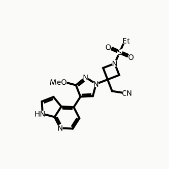 CCS(=O)(=O)N1CC(CC#N)(n2cc(-c3ccnc4[nH]ccc34)c(OC)n2)C1